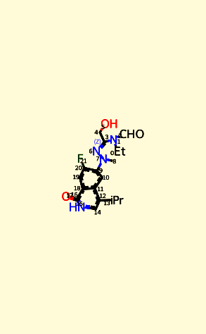 CCN(C=O)/C(CO)=N\N(C)c1cc2c(C(C)C)c[nH]c(=O)c2cc1F